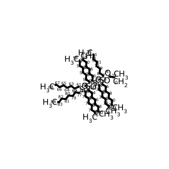 C=C(C)C(=O)O[Si](CCCCCCCC)(CCCCCCCC)O[Si](CCCCCCCC)(CCCCCCCC)O[Si](CCCCCCCC)(CCCCCCCC)O[Si](CCCCCCCC)(CCCCCCCC)CCCCCCCC